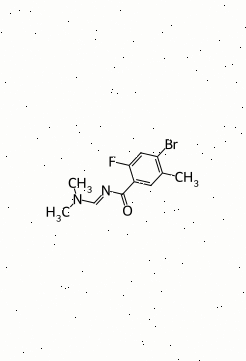 Cc1cc(C(=O)/N=C/N(C)C)c(F)cc1Br